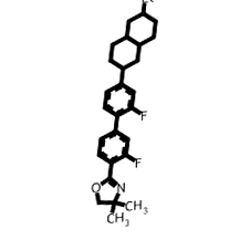 CCC1CCC2CC(c3ccc(-c4ccc(C5=NC(C)(C)CO5)c(F)c4)c(F)c3)CCC2C1